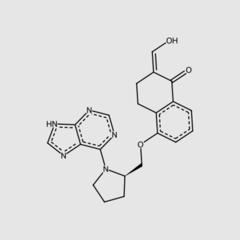 O=C1/C(=C\O)CCc2c(OC[C@H]3CCCN3c3ncnc4[nH]cnc34)cccc21